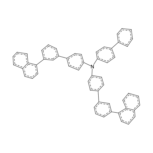 c1ccc(-c2ccc(N(c3ccc(-c4cccc(-c5cccc6ccccc56)c4)cc3)c3ccc(-c4cccc(-c5cccc6ccccc56)c4)cc3)cc2)cc1